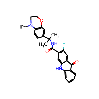 CC(C)N1CCOc2cc(C(C)(C)NC(=O)c3cc4[nH]c5ccccc5c(=O)c4cc3F)ccc21